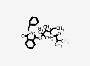 CCC(OC(=O)C(C)C)C(C)C(C)(C)OC(=O)c1ccccc1C(=O)OCc1ccccc1